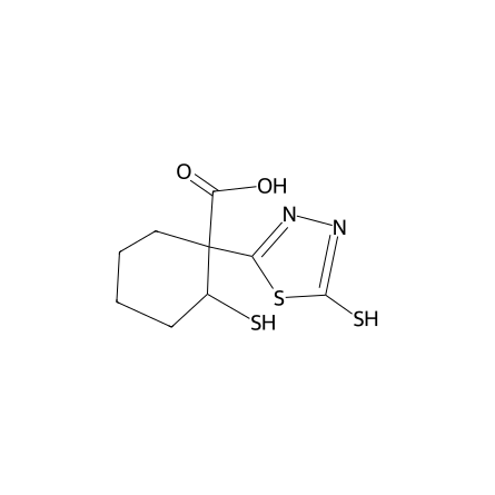 O=C(O)C1(c2nnc(S)s2)CCCCC1S